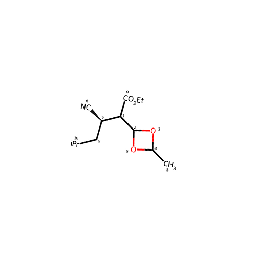 CCOC(=O)C(C1OC(C)O1)[C@H](C#N)CC(C)C